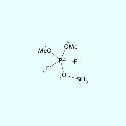 COP(F)(F)(OC)O[SiH3]